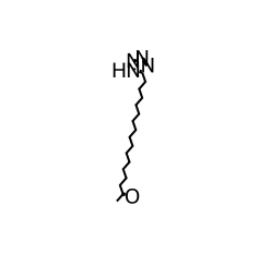 CC(=O)CCCCCCCCCCCCCCc1nnn[nH]1